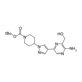 CC(C)(C)OC(=O)N1CCC(n2cc(-c3cnc(N)c(CO)n3)cn2)CC1